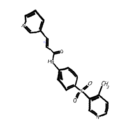 Cc1ccncc1S(=O)(=O)c1ccc(NC(=O)/C=C/c2cccnc2)cc1